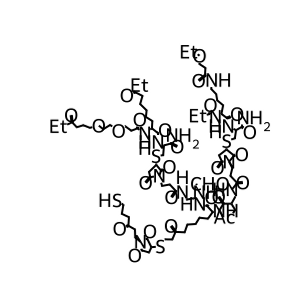 CCOCCC(=O)NCCCCC(NC(=O)CC)C(=O)NC(CSC1CC(=O)N(CCC(=O)NCC(CC(C)=O)C(=O)NC(CCCCCC(=O)CCSC2CC(=O)N(CCC(=O)CCCS)C2=O)C(=O)NC(CNC(=O)CCN2C(=O)CC(SCC(NC(=O)C(CCCCCC(=O)CC)NC(=O)CCOCCOCCCC(=O)CC)C(N)=O)C2=O)NC=O)C1=O)C(N)=O